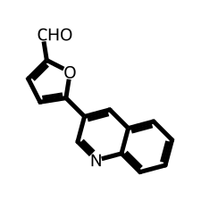 O=Cc1ccc(-c2cnc3ccccc3c2)o1